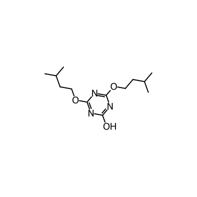 CC(C)CCOc1nc(O)nc(OCCC(C)C)n1